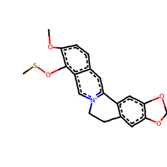 COc1ccc2cc3[n+](cc2c1OSC)CCc1cc2c(cc1-3)OCO2